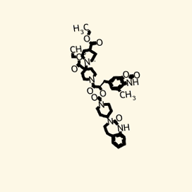 CCOC(=O)C1CC[N+](C2(C(=O)OCC)CCN(C(=O)[C@@H](Cc3cc(C)c4[nH]c(=O)oc4c3)OC(=O)N3CCC(N4CCc5ccccc5NC4=O)CC3)CC2)CC1